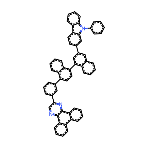 c1ccc(-n2c3ccccc3c3ccc(-c4cc(-c5ccc(-c6cccc(-c7cnc8c9ccccc9c9ccccc9c8n7)c6)c6ccccc56)c5ccccc5c4)cc32)cc1